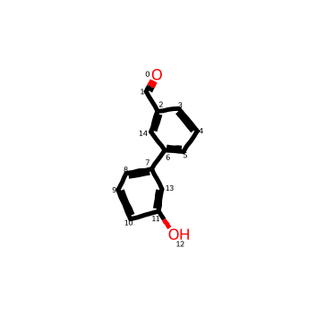 O=Cc1cccc(-c2cccc(O)c2)c1